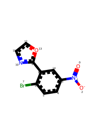 O=[N+]([O-])c1ccc(Br)c(-c2ncco2)c1